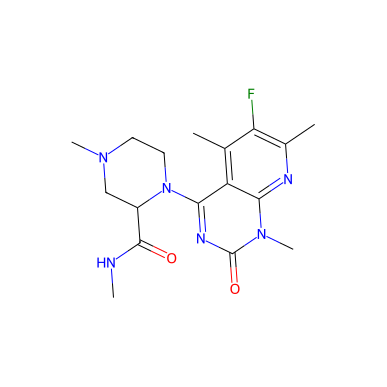 CNC(=O)C1CN(C)CCN1c1nc(=O)n(C)c2nc(C)c(F)c(C)c12